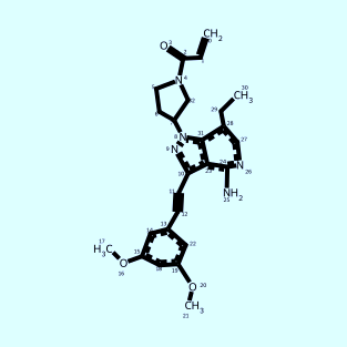 C=CC(=O)N1CCC(n2nc(C#Cc3cc(OC)cc(OC)c3)c3c(N)ncc(CC)c32)C1